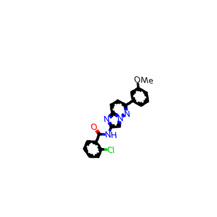 COc1cccc(-c2ccc3nc(NC(=O)c4ccccc4Cl)cn3n2)c1